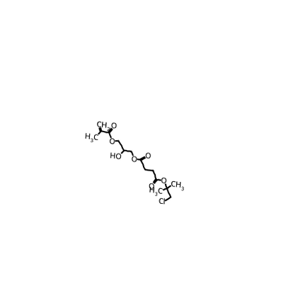 C=C(C)C(=O)OCC(O)COC(=O)CCC(=O)OC(C)(C)CCl